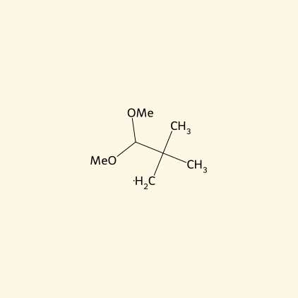 [CH2]C(C)(C)C(OC)OC